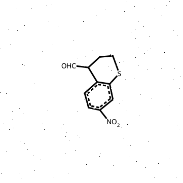 O=CC1CCSc2cc([N+](=O)[O-])ccc21